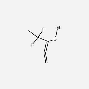 C=C=C(OCC)C(C)(F)F